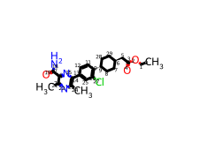 CCOC(=O)C[C@H]1CC[C@H](c2ccc(-c3nc(C(N)=O)c(C)nc3C)cc2Cl)CC1